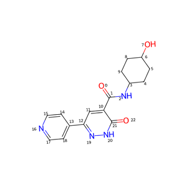 O=C(NC1CCC(O)CC1)c1cc(-c2ccncc2)n[nH]c1=O